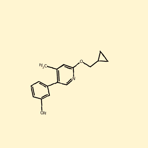 Cc1cc(OCC2CC2)ncc1-c1cccc(O)c1